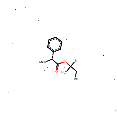 CCC(C)(CC(C)=O)OC(=O)C(OC)c1ccccc1